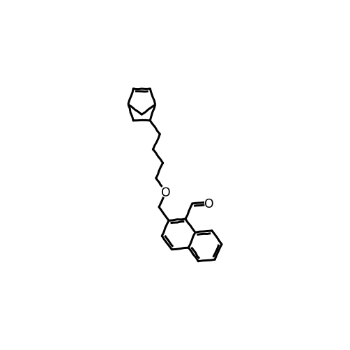 O=Cc1c(COCCCCC2CC3C=CC2C3)ccc2ccccc12